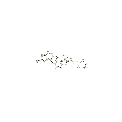 CC1=CC2=C(F)C(Oc3ncnn4cc(OCCC5CCNCC5)c(C)c34)=CCC2=N1